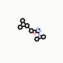 c1ccc2c(c1)c1ccccc1c1cc(-c3ccc4oc5c(-n6c7ccccc7c7ccccc76)ncnc5c4c3)ccc21